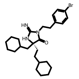 N=C1N[C@](CCC2CCCCC2)(CC2CCCCC2)C(=O)N1CCc1ccc(Br)cc1